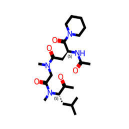 CC(=O)N[C@@H](CC(=O)N(C)CC(=O)N(C)[C@@H](CC(C)C)C(C)=O)C(=O)N1CCCCC1